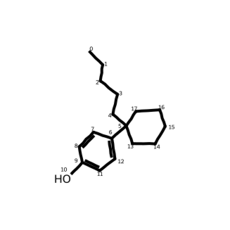 CCCCCC1(c2ccc(O)cc2)CCCCC1